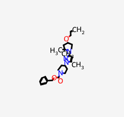 C=CCO[C@@H]1CCN(c2cc(C)n(C3CCN(C(=O)OCc4ccccc4)CC3)n2)C(C)(C)C1